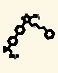 Cc1noc(-c2ccc(-c3ccc(C4(CC(=O)O)CC4)cc3)cc2)c1/C=C/CCc1ccccc1